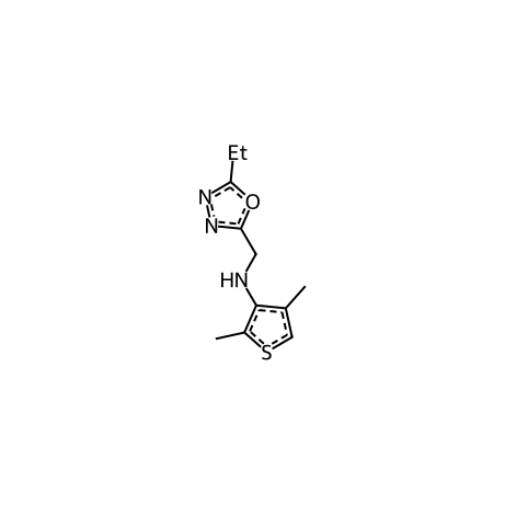 CCc1nnc(CNc2c(C)csc2C)o1